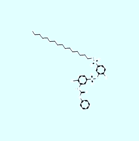 CCCCCCCCCCCCCCCCNS(=O)(=O)c1ccc(Cl)c(NS(=O)(=O)c2ccc(Cl)c(NC(=O)Oc3ccccc3)c2)c1